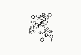 C[C@H](N)C(=O)C(CC(=O)OCc1ccccc1)[C@@H](NC(=O)[C@H](CCN(C(=O)CO)[C@@H](c1cc(-c2cc(F)ccc2F)cn1Cc1ccccc1)C(C)(C)C)NC(=O)[C@@H](N)CC(N)=O)C(=O)OCc1ccccc1.O=C(O)C(F)(F)F